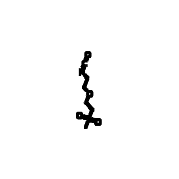 CS(=O)(=O)CCOCCN=C=O